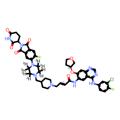 [2H]C1([2H])N(CC2CCN(C/C=C/C(=O)Nc3cc4c(Nc5ccc(F)c(Cl)c5)ncnc4cc3O[C@H]3CCOC3)CC2)C([2H])([2H])C([2H])([2H])N(c2cc3c(cc2F)C(=O)N(C2CCC(=O)NC2=O)C3=O)C1([2H])[2H]